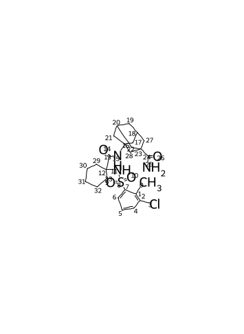 Cc1c(Cl)cccc1S(=O)(=O)NC1(C(=O)NC23CC4CC(C2)CC(C(N)=O)(C4)C3)CCCCC1